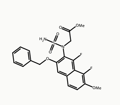 COC(=O)CN(c1c(OCc2ccccc2)cc2ccc(OC)c(F)c2c1F)S(N)(=O)=O